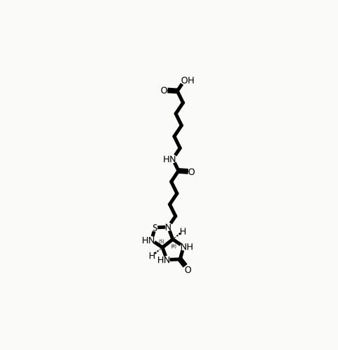 O=C(O)CCCCCNC(=O)CCCCN1SN[C@@H]2NC(=O)N[C@@H]21